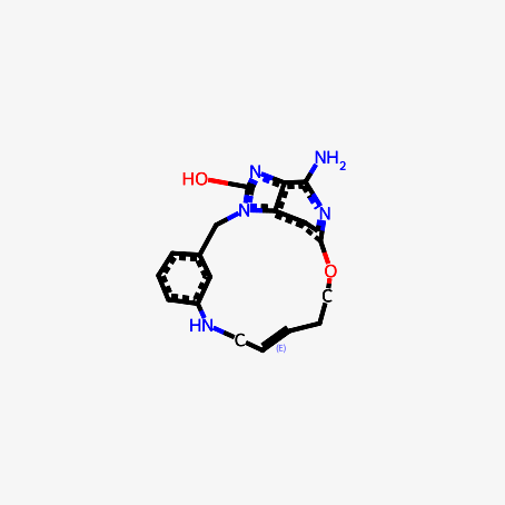 Nc1nc2cc3c1nc(O)n3Cc1cccc(c1)NC/C=C/CCO2